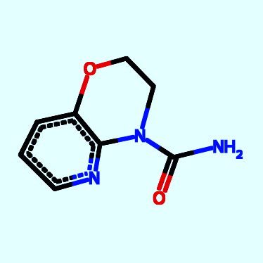 NC(=O)N1CCOc2cccnc21